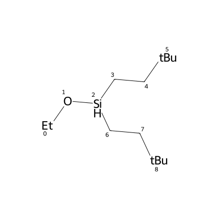 CCO[SiH](CCC(C)(C)C)CCC(C)(C)C